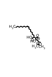 CCCCCCCC/C=C\CCCCCCC(C(=O)O)C1=C(O)C(C2COC(C)(C)O2)OC1=O